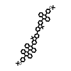 CC(C)(C)Oc1ccc(-c2c3ccccc3c(-c3ccc4c(c3)C(C)(C)c3cc(-c5ccc6c(c5)C(C)(C)c5cc(-c7c8ccccc8c(-c8c9ccccc9c(-c9ccc(OC(C)(C)C)cc9)c9ccccc89)c8ccccc78)ccc5-6)ccc3-4)c3ccccc23)cc1